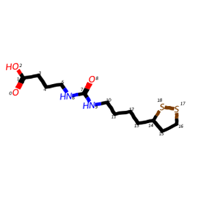 O=C(O)CCCNC(=O)NCCCCC1CCSS1